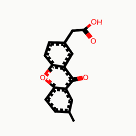 Cc1ccc2oc3ccc(CC(=O)O)cc3c(=O)c2c1